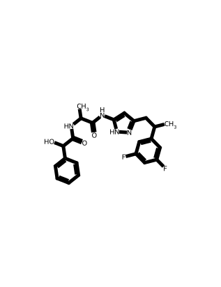 CC(NC(=O)C(O)c1ccccc1)C(=O)Nc1cc(CC(C)c2cc(F)cc(F)c2)n[nH]1